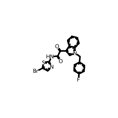 O=C(Nc1ncc(Br)s1)C(=O)c1cn(Cc2ccc(F)cc2)c2ccccc12